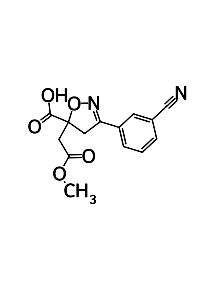 COC(=O)CC1(C(=O)O)CC(c2cccc(C#N)c2)=NO1